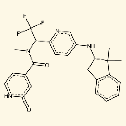 CN(C(=O)c1cc[nH]c(=O)c1)C(c1ccc(NC2Cc3ccccc3C2(C)C)cn1)C(F)(F)F